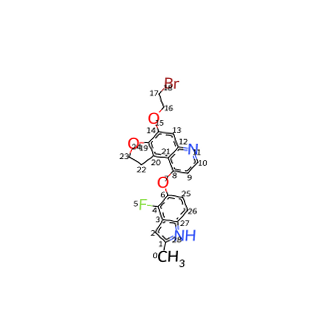 Cc1cc2c(F)c(Oc3ccnc4cc(OCCBr)c5c(c34)CCO5)ccc2[nH]1